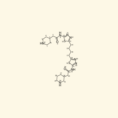 O=C(CC1CCNCC1)Nc1nnc(CCCCc2nnc(NC(=O)CC3CCCNC3)s2)s1